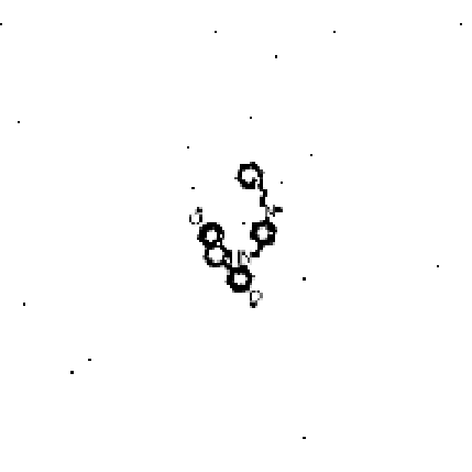 COc1ccc2c(c1)CCC(c1ccc(OC)cc1NCc1ccc(N(C)CCN3CCCCC3)cc1)C2